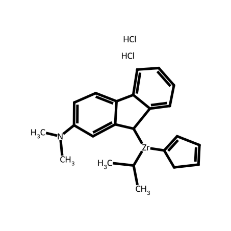 C[CH](C)[Zr]([C]1=CC=CC1)[CH]1c2ccccc2-c2ccc(N(C)C)cc21.Cl.Cl